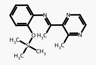 CC(=Nc1ccccc1O[Si](C)(C)C)c1nccnc1C